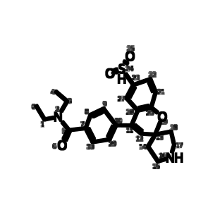 CCN(CC)C(=O)c1ccc(C2=CC3(CCNCC3)Oc3ccc([SH](=O)=O)cc32)cc1